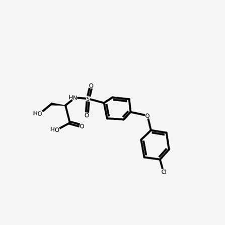 O=C(O)[C@@H](CO)NS(=O)(=O)c1ccc(Oc2ccc(Cl)cc2)cc1